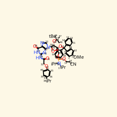 COc1ccc(C(O[C@@H]2C(COP(OCCC#N)N(C(C)C)C(C)C)OC(n3cnc4c(=O)[nH]c(NC(=O)COc5ccc(C(C)C)cc5)nc43)[C@@H]2O[Si](C)(C)C(C)(C)C)(c2ccccc2)c2ccccc2)cc1